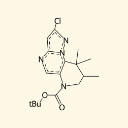 CC1CN(C(=O)OC(C)(C)C)c2cnc3cc(Cl)nn3c2C1(C)C